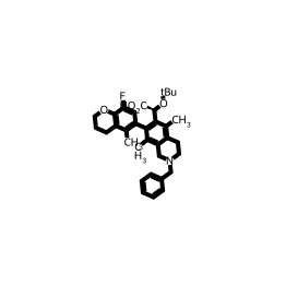 Cc1c(-c2c(C)c3c(c(C)c2[C@H](OC(C)(C)C)C(=O)O)CCN(Cc2ccccc2)C3)cc(F)c2c1CCCO2